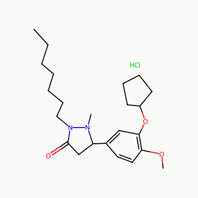 CCCCCCCN1C(=O)CC(c2ccc(OC)c(OC3CCCC3)c2)N1C.Cl